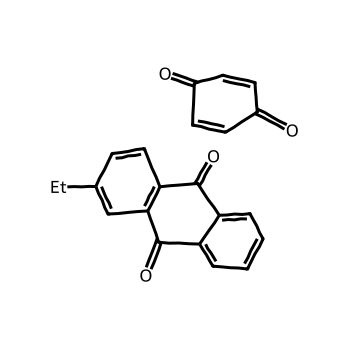 CCc1ccc2c(c1)C(=O)c1ccccc1C2=O.O=C1C=CC(=O)C=C1